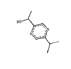 CC(C)c1cnc(C(C)S)cn1